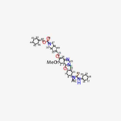 COc1cc2c(Oc3ccc(N(C(C)=O)C(=S)Nc4ccccc4)cc3F)ncnc2cc1OCC1CC2CN(C(=O)OCc3ccccc3)CC2C1